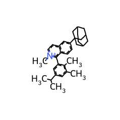 Cc1cc(C(C)C)cc(-c2c3ccc(C45CC6CC(CC(C6)C4)C5)cc3cc[n+]2C)c1C